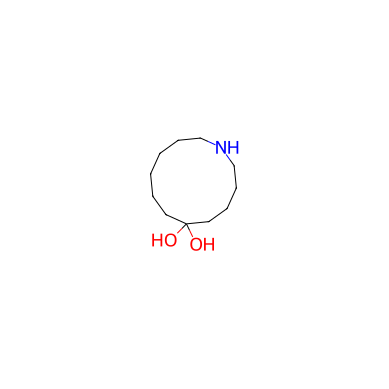 OC1(O)CCCCCCNCCCC1